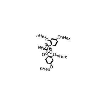 CCCCCCOc1ccc(S(=O)(=O)C(=[N+]=[N-])S(=O)(=O)c2ccc(OCCCCCC)cc2OCCCCCC)c(OCCCCCC)c1